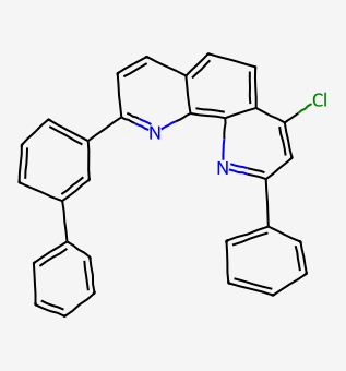 Clc1cc(-c2ccccc2)nc2c1ccc1ccc(-c3cccc(-c4ccccc4)c3)nc12